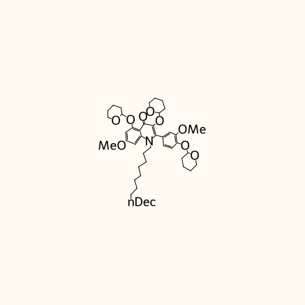 CCCCCCCCCCCCCCCCCCn1c(-c2ccc(OC3CCCCO3)c(OC)c2)c(OC2CCCCO2)c(=O)c2c(OC3CCCCO3)cc(OC)cc21